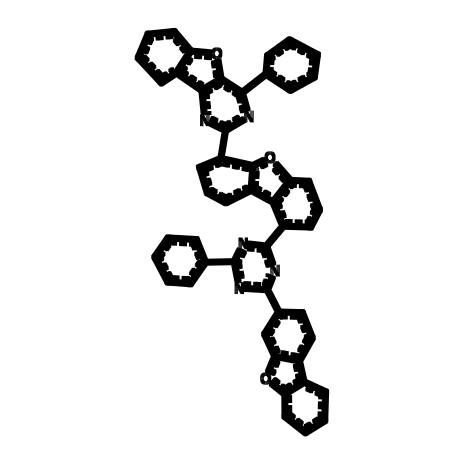 c1ccc(-c2nc(-c3ccc4c(c3)oc3ccccc34)nc(-c3cccc4oc5c(-c6nc(-c7ccccc7)c7oc8ccccc8c7n6)cccc5c34)n2)cc1